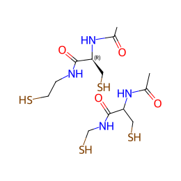 CC(=O)NC(CS)C(=O)NCS.CC(=O)N[C@@H](CS)C(=O)NCCS